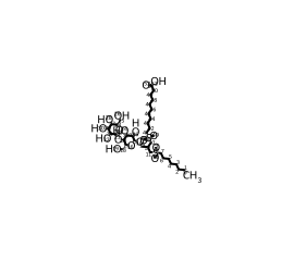 CCCCCCCCS(=O)(=O)CC(CO[C@H]1O[C@H](CO)[C@@H](O[C@@H]2O[C@H](CO)[C@H](O)[C@H](O)[C@H]2O)[C@H](O)[C@H]1O)CS(=O)(=O)CCCCCCCCCCC(=O)O